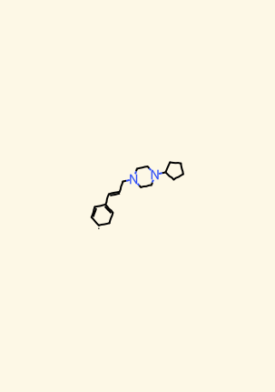 [CH]1C=CC(C=CCN2CCN(C3CCCC3)CC2)=CC1